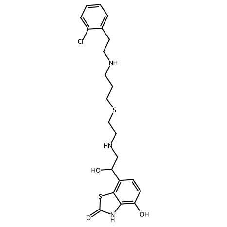 O=c1[nH]c2c(O)ccc(C(O)CNCCSCCCNCCc3ccccc3Cl)c2s1